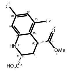 COC(=O)[C@@H]1C[C@H](C(=O)O)Nc2cc(Cl)cc(I)c21